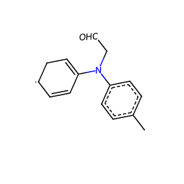 Cc1ccc(N(CC=O)C2=CC[CH]C=C2)cc1